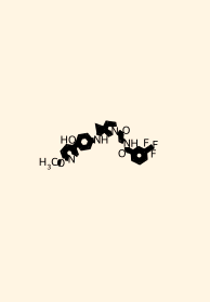 COc1ccc(C2(O)CCC(NC3CC34CCN(C(=O)CNC(=O)c3cccc(C(F)(F)F)c3)C4)CC2)cn1